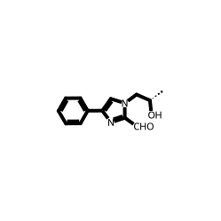 C[C@H](O)Cn1cc(-c2ccccc2)nc1C=O